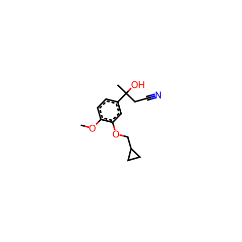 COc1ccc(C(C)(O)CC#N)cc1OCC1CC1